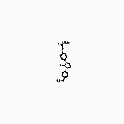 COC(=O)CCc1ccc(N2CCN(c3ccc(CN)cc3)C2=O)cc1